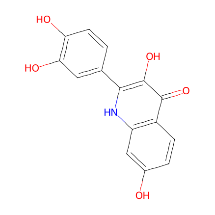 O=c1c(O)c(-c2ccc(O)c(O)c2)[nH]c2cc(O)ccc12